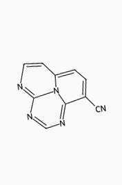 N#CC1=CC=C2C=CN=C3N=CN=C1N23